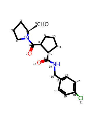 O=C[C@@H]1CCCN1C(=O)C1CCC[C@H]1C(=O)NCc1ccc(Cl)cc1